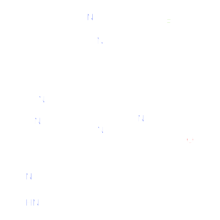 CC1COCCN1c1cc(-c2ccnn2CCF)c2c(n1)c(-c1cc[nH]n1)nn2C